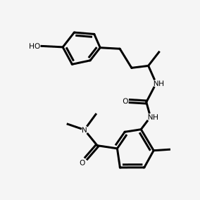 Cc1ccc(C(=O)N(C)C)cc1NC(=O)NC(C)CCc1ccc(O)cc1